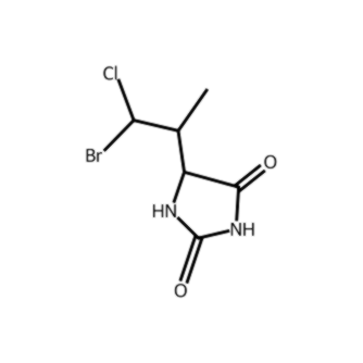 CC(C(Cl)Br)C1NC(=O)NC1=O